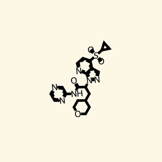 O=C(Nc1cnccn1)C(CC1CCOCC1)n1ncc2c(S(=O)(=O)C3CC3)ccnc21